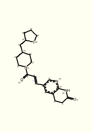 O=C1CCc2cc(/C=C/C(=O)N3CCC(CC4CCCS4)CC3)cnc2N1